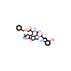 COc1cccc2[nH]c(C(=O)N3CC4CCCC4C3C(=O)NC(CC3CC(C)(C)NC3=O)C(=O)COCc3ccccc3)cc12